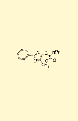 CCCS(=O)(=O)Oc1nc(-c2ccccc2)oc1C